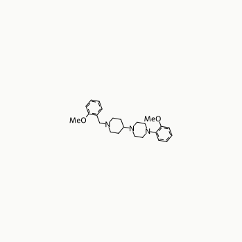 COc1ccccc1CN1CCC(N2CCN(c3ccccc3OC)CC2)CC1